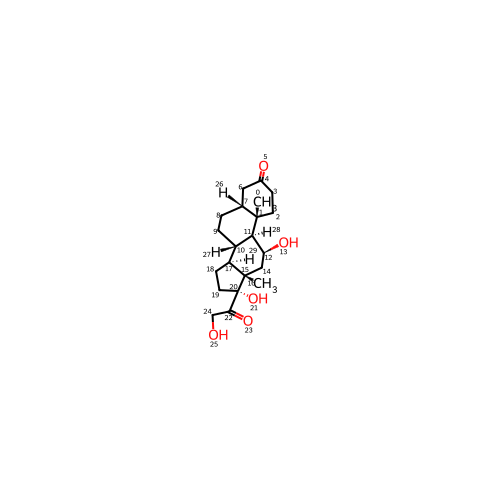 C[C@]12CCC(=O)C[C@H]1CC[C@@H]1[C@@H]2[C@@H](O)C[C@@]2(C)[C@H]1CC[C@]2(O)C(=O)CO